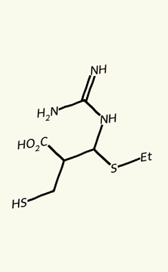 CCSC(NC(=N)N)C(CS)C(=O)O